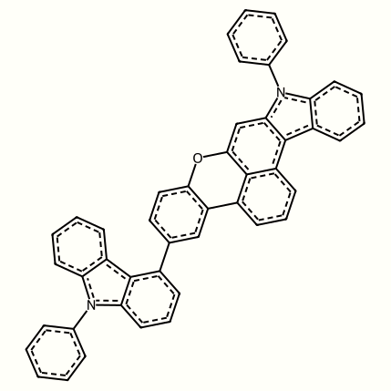 c1ccc(-n2c3ccccc3c3c(-c4ccc5c(c4)-c4cccc6c4c(cc4c6c6ccccc6n4-c4ccccc4)O5)cccc32)cc1